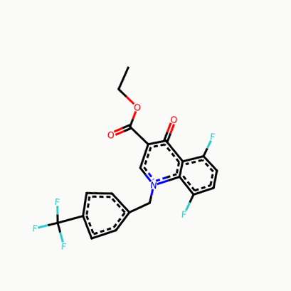 CCOC(=O)c1cn(Cc2ccc(C(F)(F)F)cc2)c2c(F)ccc(F)c2c1=O